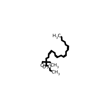 CCCCC/C=C\C/C=C\C/C=C\C/C=C\CCC(CC)(CC)C(=O)OCC